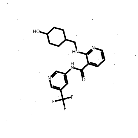 O=C(Nc1cncc(C(F)(F)F)c1)c1cccnc1NCC1CCC(O)CC1